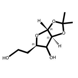 CC1(C)O[C@H]2O[C@H](CCO)C(O)[C@@H]2O1